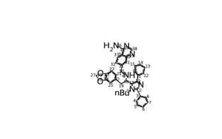 CCCCn1c(-c2ccccc2)nc(-c2ccccc2)c1C(Cc1ccc2c(c1)OCO2)NCc1ccc2c(N)ncnc2c1